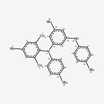 Cc1cc(C(C)(C)C)cc(C)c1N(c1ccc(C(C)(C)C)cc1)c1cc(Nc2ccc(C(C)(C)C)cc2)cc(C(C)(C)C)c1